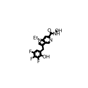 CCn1cc(Cc2cc(F)c(F)c(F)c2O)c2cnc(C(=O)NO)cc21